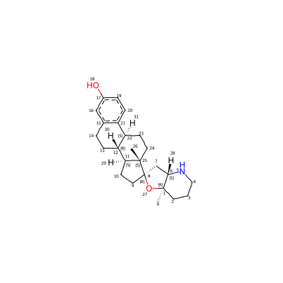 C[C@@]12CCCN[C@H]1C[C@@]1(CC[C@H]3[C@@H]4CCc5cc(O)ccc5[C@H]4CC[C@@]31C)O2